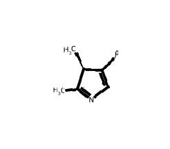 CC1=NC=C(F)[C@@H]1C